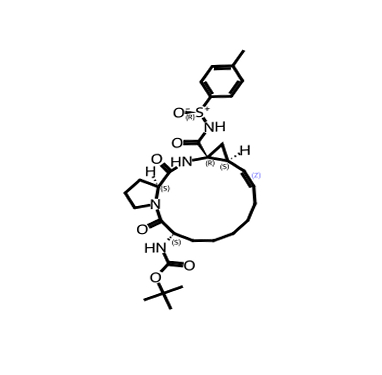 Cc1ccc([S@+]([O-])NC(=O)[C@@]23C[C@H]2/C=C\CCCCC[C@H](NC(=O)OC(C)(C)C)C(=O)N2CCC[C@H]2C(=O)N3)cc1